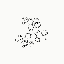 CC(C)(C)c1cc2c(cc1C(C)(C)C)[CH]([Zr+2]([C]1=CC=CC1)=[C](c1ccccc1)c1ccccc1)c1cc(C(C)(C)C)c(C(C)(C)C)cc1-2.[Cl-].[Cl-]